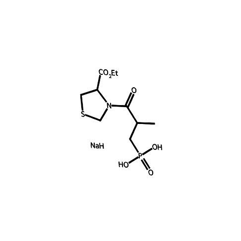 CCOC(=O)C1CSCN1C(=O)C(C)CP(=O)(O)O.[NaH]